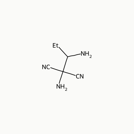 CCC(N)C(N)(C#N)C#N